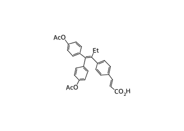 CCC(=C(c1ccc(OC(C)=O)cc1)c1ccc(OC(C)=O)cc1)c1ccc(C=CC(=O)O)cc1